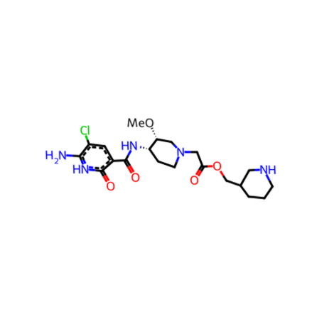 CO[C@@H]1CN(CC(=O)OCC2CCCNC2)CC[C@@H]1NC(=O)c1cc(Cl)c(N)[nH]c1=O